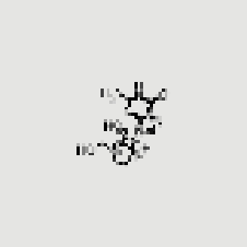 Nc1nc2c(ncn2[C@@H]2O[C@@]3(CO)CC[C@@H]2C3CO)c(=O)[nH]1